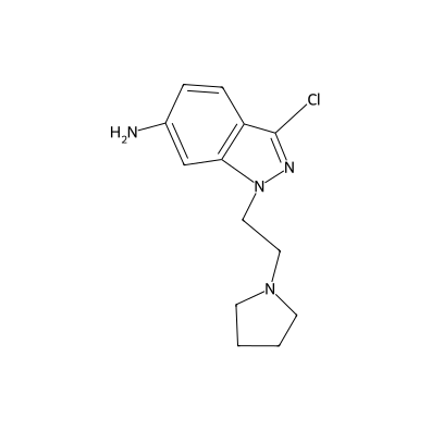 Nc1ccc2c(Cl)nn(CCN3CCCC3)c2c1